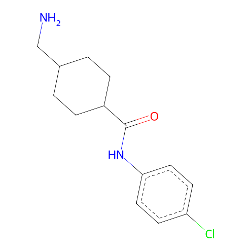 NCC1CCC(C(=O)Nc2ccc(Cl)cc2)CC1